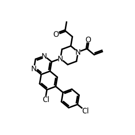 C=CC(=O)N1CCN(c2ncnc3cc(Cl)c(-c4ccc(Cl)cc4)cc23)CC1CC(C)=O